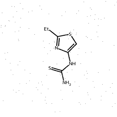 CCc1nc(NC(N)=S)cs1